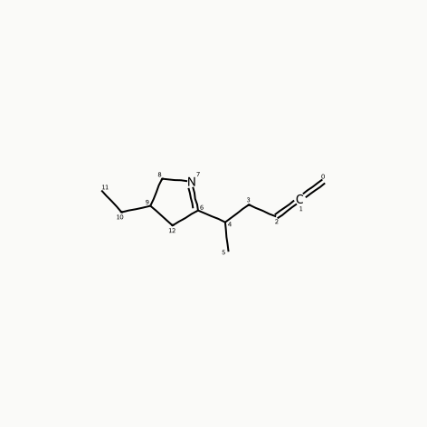 C=C=CCC(C)C1=NCC(CC)C1